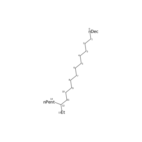 [CH2]CCCCCCCCCCCCCCCCCCCCC(CC)CCCC[CH2]